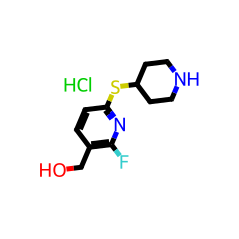 Cl.OCc1ccc(SC2CCNCC2)nc1F